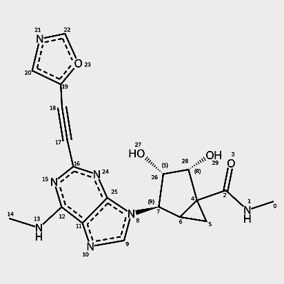 CNC(=O)C12CC1[C@@H](n1cnc3c(NC)nc(C#Cc4cnco4)nc31)[C@H](O)[C@@H]2O